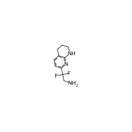 NCC(F)(F)c1ccc2c(n1)NCCC2